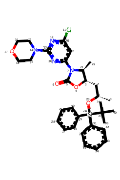 C[C@@H](C[C@@H]1OC(=O)N(c2cc(Cl)nc(N3CCOCC3)n2)[C@H]1C)O[Si](c1ccccc1)(c1ccccc1)C(C)(C)C